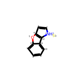 [S-][NH+]1C=Cc2oc3ccccc3c21